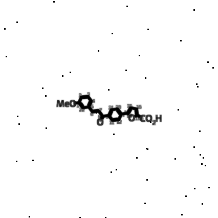 COc1cccc(/C=C/C(=O)c2ccc(-c3ccc(C(=O)O)o3)cc2)c1